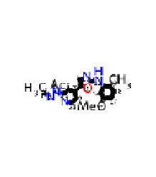 C/C=N\N(C(C)=O)c1cc(-c2cnc(Nc3cc(OC)ccc3C)o2)ccn1